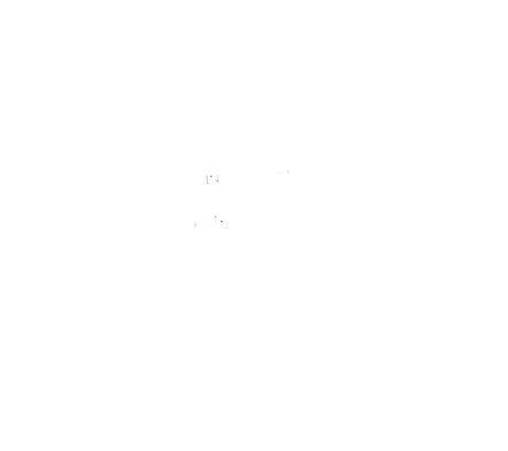 COc1ccc(/C=N/NC(=O)C(OC)c2ccccc2)cc1OC